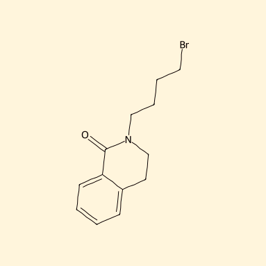 O=C1c2ccccc2CCN1CCCCBr